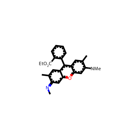 CCOC(=O)c1ccccc1-c1c2cc(C)/c(=N/C)cc-2oc2cc(NC)c(C)cc12